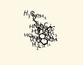 C=C[C@@]1(C)CC(=O)[C@]2(O)[C@@]3(C)[C@@H](O)CCC(C)(C)[C@@H]3[C@H](O)[C@H](OC(=O)NCCN(C)C)[C@@]2(C)O1.Cl